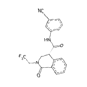 N#Cc1cccc(NC(=O)[C@H]2CN(CC(F)(F)F)C(=O)c3ccccc32)c1